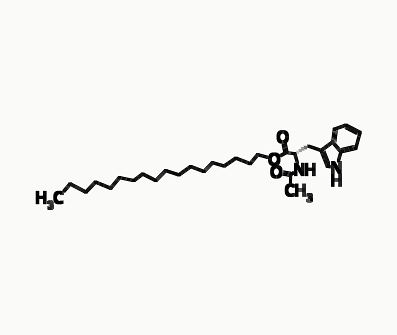 CCCCCCCCCCCCCCCCCCOC(=O)[C@H](Cc1c[nH]c2ccccc12)NC(C)=O